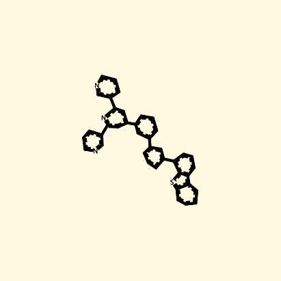 c1cc(-c2cccc(-c3cccc4c3sc3ccccc34)c2)cc(-c2cc(-c3cccnc3)nc(-c3cccnc3)c2)c1